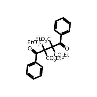 CCOC(=O)C(C(=O)OCC)(C(=O)c1ccccc1)C(C(=O)OCC)(C(=O)OCC)C(=O)c1ccccc1